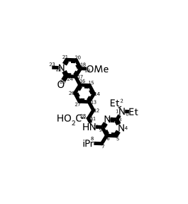 CCN(CC)c1ncc(CC(C)C)c(N[C@@H](Cc2ccc(-c3c(OC)ccn(C)c3=O)cc2)C(=O)O)n1